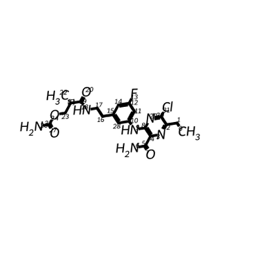 CCc1nc(C(N)=O)c(Nc2cc(F)cc(CCNC(=O)[C@@H](C)COC(N)=O)c2)nc1Cl